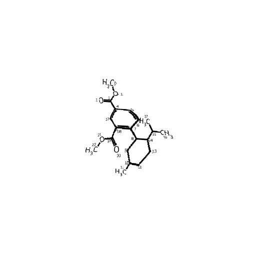 COC(=O)c1ccc(C2CC(C)CCC2C(C)C)c(C(=O)OC)c1